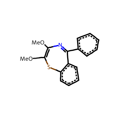 COC1=C(OC)Sc2ccccc2C(c2ccccc2)=N1